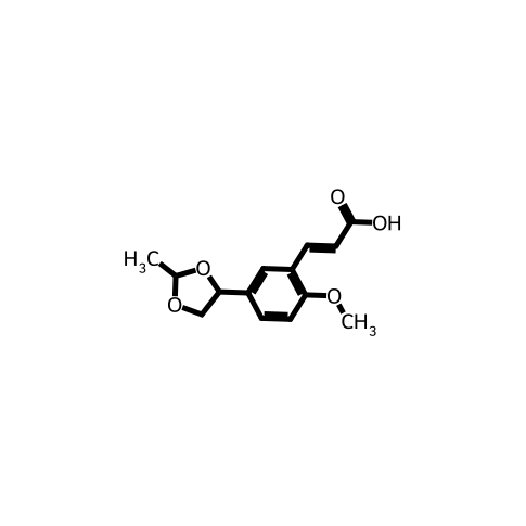 COc1ccc(C2COC(C)O2)cc1C=CC(=O)O